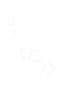 c1cnc(N2CCc3nc(OCCCN4CCCC4)ccc3C2)cn1